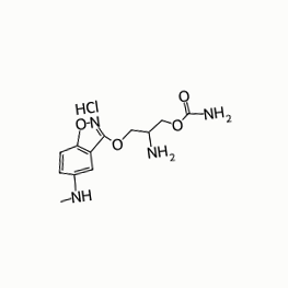 CNc1ccc2onc(OCC(N)COC(N)=O)c2c1.Cl